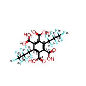 O=C(O)c1c(C(=O)O)c(C(F)(F)C(F)(F)C(F)(F)F)c(C(=O)O)c(C(=O)O)c1C(F)(F)C(F)(F)C(F)(F)F